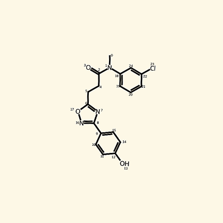 CN(C(=O)CCc1nc(-c2ccc(O)cc2)no1)c1cccc(Cl)c1